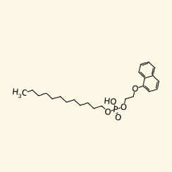 CCCCCCCCCCCCOP(=O)(O)OCCOc1cccc2ccccc12